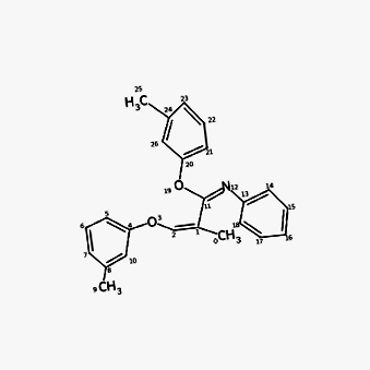 CC(=COc1cccc(C)c1)C(=Nc1ccccc1)Oc1cccc(C)c1